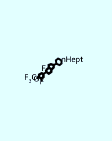 CCCCCCCC1CCC(c2ccc3c(F)c(-c4ccc(OC(F)(F)F)c(F)c4)ccc3c2)CC1